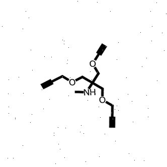 C#CCOCC(COC#C)(COCC#C)NC